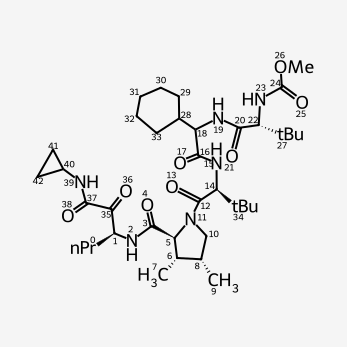 CCC[C@H](NC(=O)[C@@H]1[C@@H](C)[C@@H](C)CN1C(=O)[C@@H](NC(=O)C(NC(=O)[C@H](NC(=O)OC)C(C)(C)C)C1CCCCC1)C(C)(C)C)C(=O)C(=O)NC1CC1